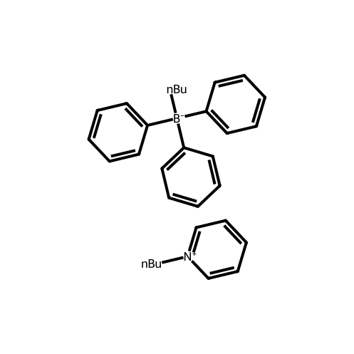 CCCC[B-](c1ccccc1)(c1ccccc1)c1ccccc1.CCCC[n+]1ccccc1